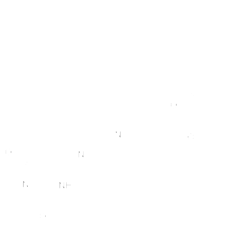 Cn1c(=O)cc(N2CCN(CCCOc3ccccc3C(=O)c3ccccc3)CC2)[nH]c1=O